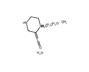 O.O.O.O.O.O=C=C1CNCCN1